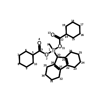 [CH3][Ti]([O]C(=O)C1CCCCC1)([O]C(=O)C1CCCCC1)[CH]1C2=C(CCCC2)C2=C1CCCC2